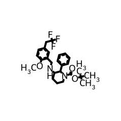 COc1ccc(CC(F)(F)F)cc1CNC1CCCN(C(=O)OC(C)(C)C)C1c1ccccc1